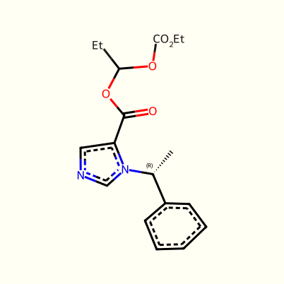 CCOC(=O)OC(CC)OC(=O)c1cncn1[C@H](C)c1ccccc1